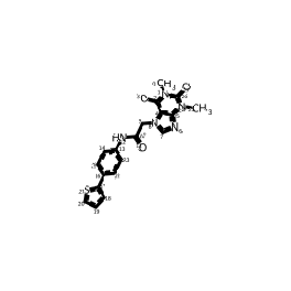 Cn1c(=O)c2c(ncn2CC(=O)Nc2ccc(-c3cccs3)cc2)n(C)c1=O